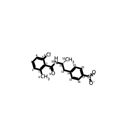 Cc1cccc(Cl)c1C(=O)N[C@H](C)Cc1ccc([N+](=O)[O-])cc1